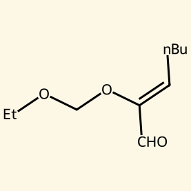 CCCCC=C(C=O)OCOCC